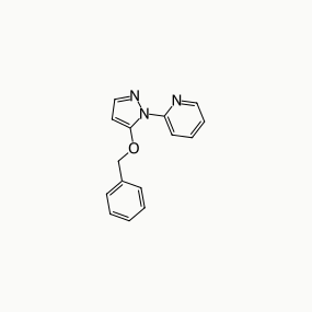 c1ccc(COc2ccnn2-c2ccccn2)cc1